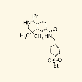 CCS(=O)(=O)c1ccc(CNC(=O)c2ccc3c(c2)C(C)(C)CNC3C(C)C)cc1